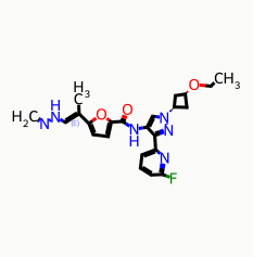 C=NN/C=C(\C)c1ccc(C(=O)Nc2cn([C@H]3C[C@@H](OCC)C3)nc2-c2cccc(F)n2)o1